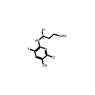 CSCC[C@@H](Nc1nc(Cl)c(C#N)cc1F)C(C)C